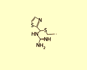 [CH2]CSC(NC(=N)N)c1nccs1